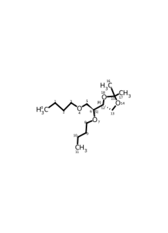 CCCCOC[C@H](OCCCC)[C@H]1COC(C)(C)O1